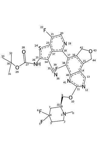 CN1CCC(F)(F)C[C@H]1COc1ncc2c3c(c(-c4ncc(F)c5sc(NC(=O)OC(C)(C)C)c(C#N)c45)c(F)c2n1)COC3